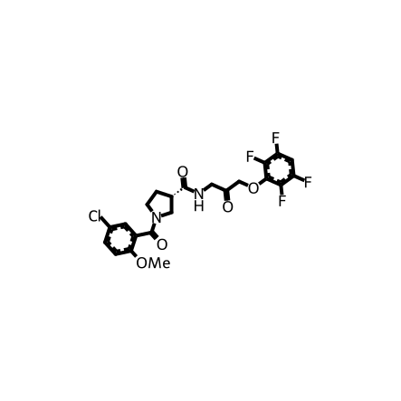 COc1ccc(Cl)cc1C(=O)N1CC[C@H](C(=O)NCC(=O)COc2c(F)c(F)cc(F)c2F)C1